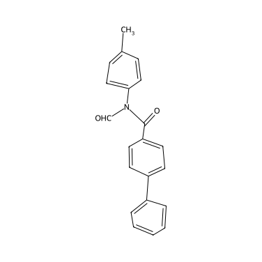 Cc1ccc(N(C=O)C(=O)c2ccc(-c3ccccc3)cc2)cc1